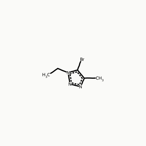 CCn1nnc(C)c1Br